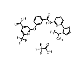 CC(C)n1cnnc1-c1cccc(NC(=O)c2cccc(Oc3cc(C(=O)O)cc(C(F)(F)F)n3)c2)n1.O=C(O)C(F)(F)F